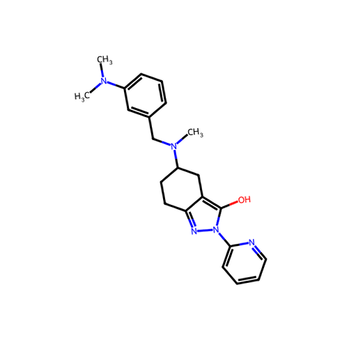 CN(C)c1cccc(CN(C)C2CCc3nn(-c4ccccn4)c(O)c3C2)c1